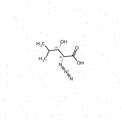 CC(C)[C@H](O)[C@@H](N=[N+]=[N-])C(=O)O